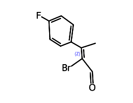 C/C(=C(/Br)C=O)c1ccc(F)cc1